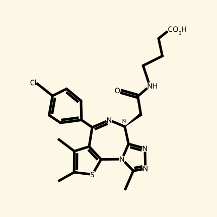 Cc1sc2c(c1C)C(c1ccc(Cl)cc1)=N[C@@H](CC(=O)NCCCC(=O)O)c1nnc(C)n1-2